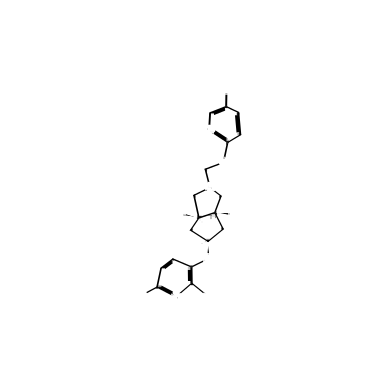 Cc1ccc(O[C@H]2C[C@@H]3CN(CSc4ccc(O)cn4)C[C@@H]3C2)c(F)n1